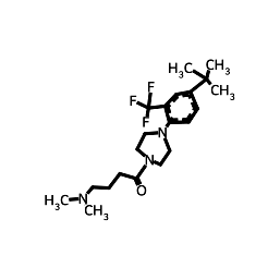 CN(C)CCCC(=O)N1CCN(c2ccc(C(C)(C)C)cc2C(F)(F)F)CC1